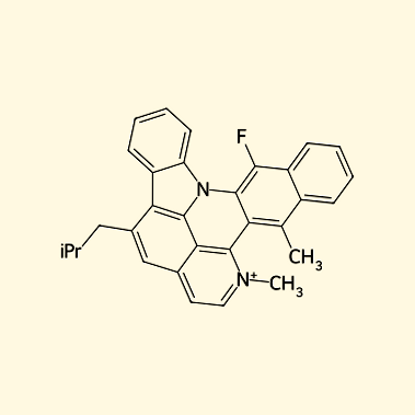 Cc1c2ccccc2c(F)c2c1c1c3c(cc[n+]1C)cc(CC(C)C)c1c4ccccc4n2c13